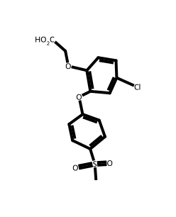 CS(=O)(=O)c1ccc(Oc2cc(Cl)ccc2OCC(=O)O)cc1